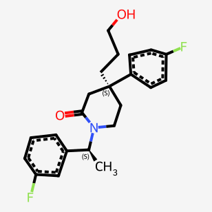 C[C@@H](c1cccc(F)c1)N1CC[C@](CCCO)(c2ccc(F)cc2)CC1=O